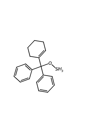 [SiH3]OC(C1=CCCCC1)(c1ccccc1)c1ccccc1